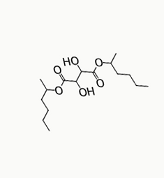 CCCCC(C)OC(=O)C(O)C(O)C(=O)OC(C)CCCC